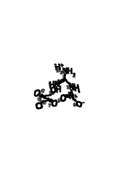 N=C(N)N[N+](=O)[O-].O=S(=O)([O-])O.[H+]